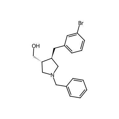 OC[C@H]1CN(Cc2ccccc2)C[C@@H]1Cc1cccc(Br)c1